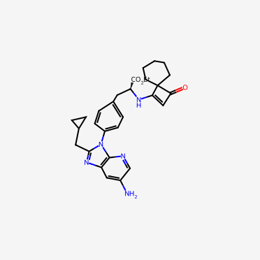 CCOC(=O)[C@H](Cc1ccc(-n2c(CC3CC3)nc3cc(N)cnc32)cc1)NC1=CC(=O)C12CCCCC2